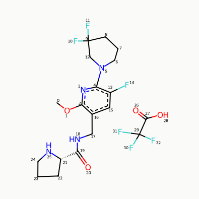 COc1nc(N2CCCC(F)(F)C2)c(F)cc1CNC(=O)[C@@H]1CCCN1.O=C(O)C(F)(F)F